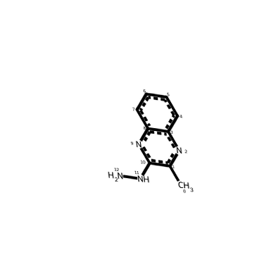 Cc1nc2ccccc2nc1NN